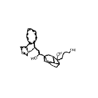 OCCCC1(O)C2CC3CC1CC(C(O)CC1c4ccccc4-c4cncn41)(C3)C2